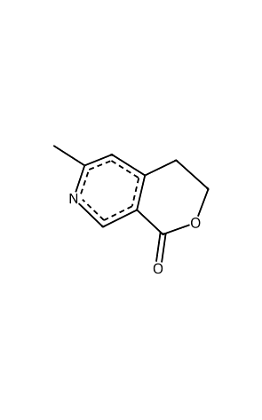 Cc1cc2c(cn1)C(=O)OCC2